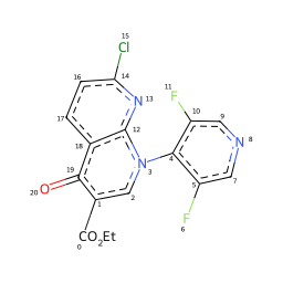 CCOC(=O)c1cn(-c2c(F)cncc2F)c2nc(Cl)ccc2c1=O